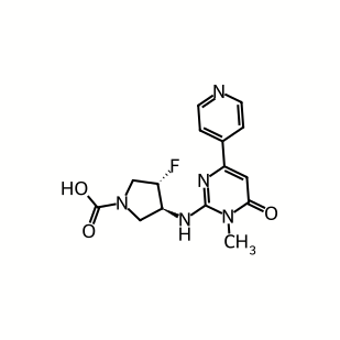 Cn1c(N[C@H]2CN(C(=O)O)C[C@@H]2F)nc(-c2ccncc2)cc1=O